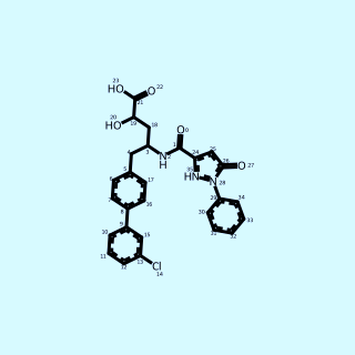 O=C(NC(Cc1ccc(-c2cccc(Cl)c2)cc1)CC(O)C(=O)O)c1cc(=O)n(-c2ccccc2)[nH]1